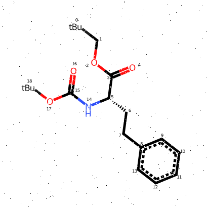 CC(C)(C)COC(=O)[C@H](CCc1ccccc1)NC(=O)OC(C)(C)C